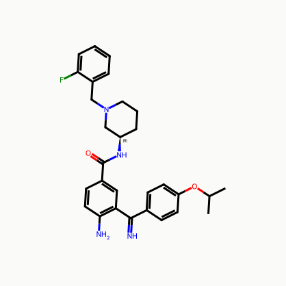 CC(C)Oc1ccc(C(=N)c2cc(C(=O)N[C@@H]3CCCN(Cc4ccccc4F)C3)ccc2N)cc1